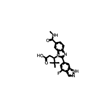 CNC(=O)c1ccc2nc(-c3cc(F)c4cn[nH]c4c3)n(C(CC(=O)O)C(C)(C)C)c2c1